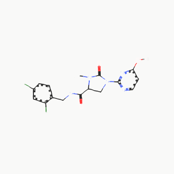 COc1ccnc(N2CC(C(=O)NCc3ccc(Cl)cc3Cl)N(C)C2=O)n1